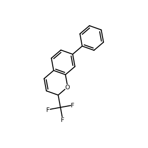 FC(F)(F)C1C=Cc2ccc(-c3ccccc3)cc2O1